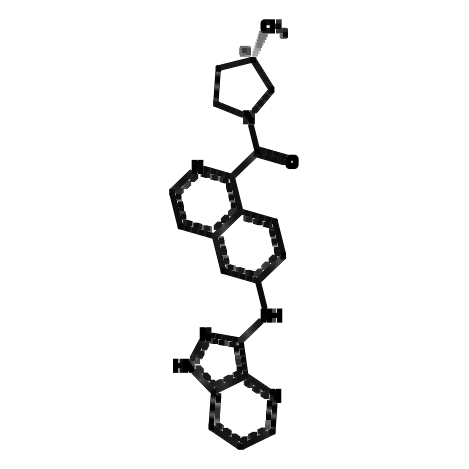 C[C@H]1CCN(C(=O)c2nccc3cc(Nc4n[nH]c5cccnc45)ccc23)C1